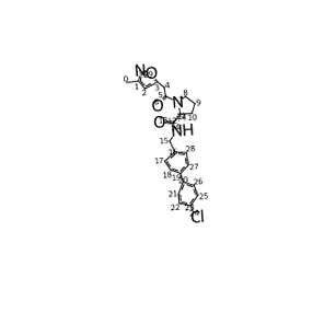 Cc1cc(CC(=O)N2CCC[C@H]2C(=O)NCc2ccc(-c3ccc(Cl)cc3)cc2)on1